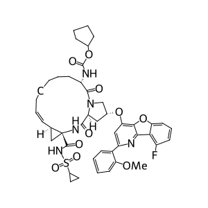 COc1ccccc1-c1cc(O[C@@H]2C[C@H]3C(=O)N[C@]4(C(=O)NS(=O)(=O)C5CC5)C[C@H]4/C=C\CCCCC[C@H](NC(=O)OC4CCCC4)C(=O)N3C2)c2oc3cccc(F)c3c2n1